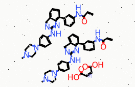 C=CC(=O)Nc1cccc(-c2cccc3cnc(Nc4ccc(N5CCN(C)CC5)cc4)nc23)c1.C=CC(=O)Nc1cccc(-c2cccc3cnc(Nc4ccc(N5CCN(C)CC5)cc4)nc23)c1.O=C(O)/C=C\C(=O)O